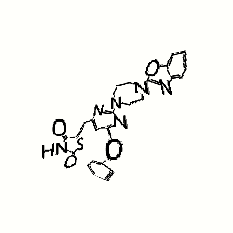 O=C1NC(=O)/C(=C/c2cc(Oc3ccccc3)nc(N3CCCN(c4nc5ccccc5o4)CC3)n2)S1